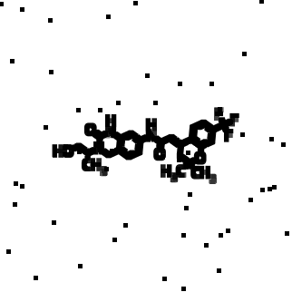 C[C@@H](CO)N1Cc2ccc(NC(=O)/C=C3\CC(C)(C)Oc4cc(C(F)(F)F)ccc43)cc2NC1=O